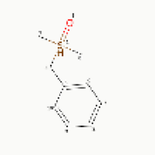 C[SH](C)(=O)Cc1ccccc1